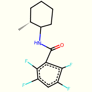 C[C@@H]1CCCCC1NC(=O)c1c(F)c(F)cc(F)c1F